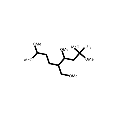 COCC(CCC(OC)OC)C(CC(C)(OC)OC)OC